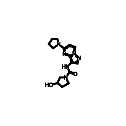 O=C(Nc1cnn2ccc(N3CCCC3)nc12)N1CCC(O)C1